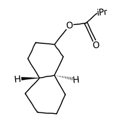 CC(C)C(=O)OC1CC[C@H]2CCCC[C@@H]2C1